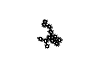 c1ccc(-c2cc(-c3ccccc3)cc(-c3ccc(N(c4ccc(-c5cccc(-c6cccc7ccccc67)c5)cc4)c4cccc5c4-c4ccccc4C5(c4ccccc4)c4ccccc4)cc3)c2)cc1